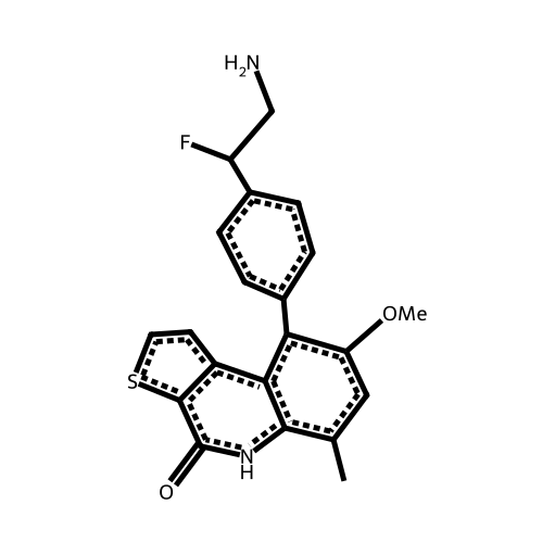 COc1cc(C)c2[nH]c(=O)c3sccc3c2c1-c1ccc(C(F)CN)cc1